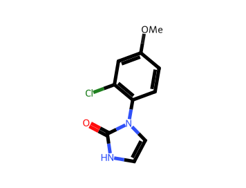 COc1ccc(-n2cc[nH]c2=O)c(Cl)c1